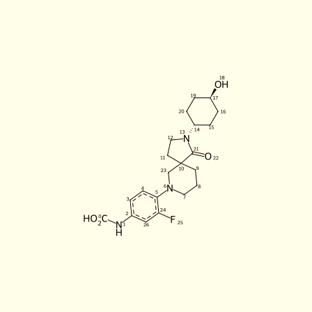 O=C(O)Nc1ccc(N2CCCC3(CCN([C@H]4CC[C@H](O)CC4)C3=O)C2)c(F)c1